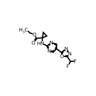 CCOC(=O)C1(Nc2ncc(-c3nnc(C(F)F)o3)cn2)CC1